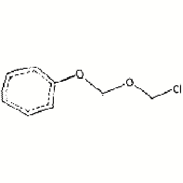 ClCO[CH]Oc1ccccc1